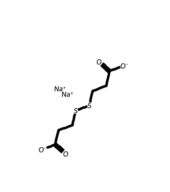 O=C([O-])CCSSCCC(=O)[O-].[Na+].[Na+]